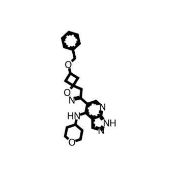 c1ccc(COC2CC3(CC(c4cnc5[nH]ncc5c4NC4CCOCC4)=NO3)C2)cc1